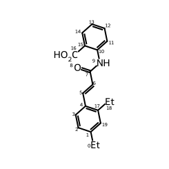 CCc1ccc(C=CC(=O)Nc2ccccc2C(=O)O)c(CC)c1